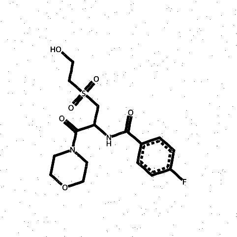 O=C(NC(CS(=O)(=O)CCO)C(=O)N1CCOCC1)c1ccc(F)cc1